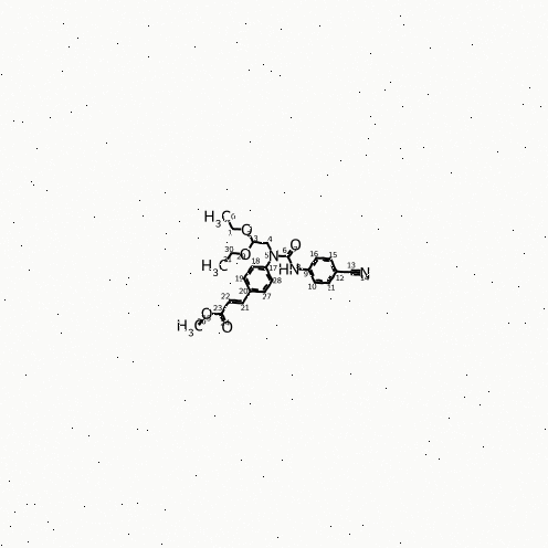 CCOC(CN(C(=O)Nc1ccc(C#N)cc1)c1ccc(/C=C/C(=O)OC)cc1)OCC